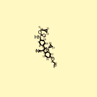 C[C@@H](OC(=O)Nc1ccc(-c2c(C#N)c3ccc(OCCF)cc3n2C2CC2)cc1)C1CC1